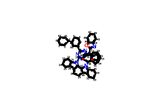 c1ccc(-c2cccc(-c3nc(-c4ccccc4)nc(-n4c5ccccc5c5ccc6c7ccccc7n(-c7ccc(-c8nc9ccccc9o8)c8ccccc78)c6c54)n3)c2)cc1